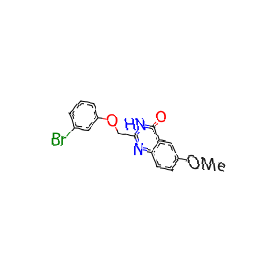 COc1ccc2nc(COc3cccc(Br)c3)[nH]c(=O)c2c1